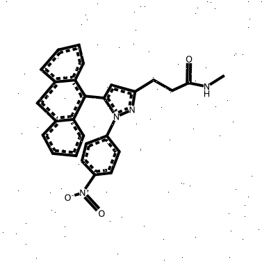 CNC(=O)CCc1cc(-c2c3ccccc3cc3ccccc23)n(-c2ccc([N+](=O)[O-])cc2)n1